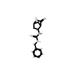 O=C(NC1CC2CC1C(=O)O2)OCc1ccccc1